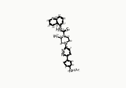 CC(=O)Nc1ccc(-c2ccc(N3CCN(C(=S)Nc4cccc5ncccc45)C(C(C)C)C3)nn2)cc1